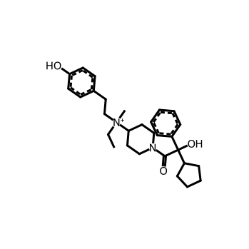 CC[N+](C)(CCc1ccc(O)cc1)C1CCN(C(=O)C(O)(c2ccccc2)C2CCCC2)CC1